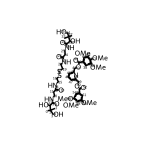 CC(C)(CO)C(O)C(=O)NCCC(=O)NCCSSCCNC(=O)CCNC(=O)C(O)C(C)(C)CO.COc1cc(C(=O)OCc2cccc(COC(=O)c3cc(OC)c(OC)c(OC)c3)n2)cc(OC)c1OC